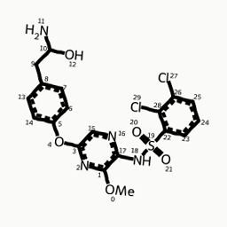 COc1nc(Oc2ccc(CC(N)O)cc2)cnc1NS(=O)(=O)c1cccc(Cl)c1Cl